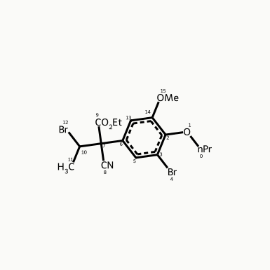 CCCOc1c(Br)cc(C(C#N)(C(=O)OCC)C(C)Br)cc1OC